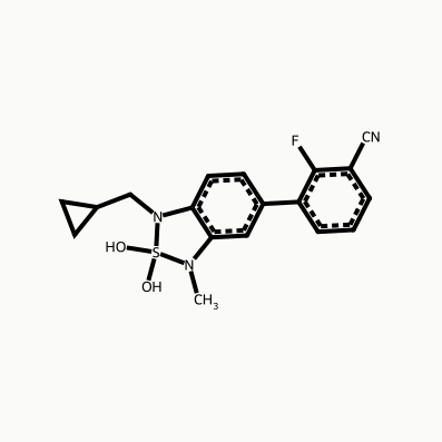 CN1c2cc(-c3cccc(C#N)c3F)ccc2N(CC2CC2)S1(O)O